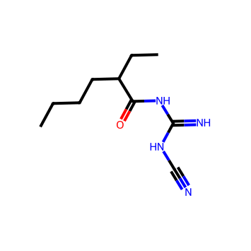 CCCCC(CC)C(=O)NC(=N)NC#N